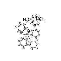 CC1(C)OB(c2ccc3c(c2)C2(c4ccccc4-3)c3ccccc3-c3c2oc2ccccc32)OC1(C)C